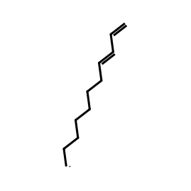 [CH2]CCCCCC/C=C/C=C